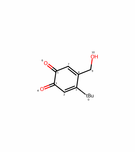 CC(C)(C)C1=CC(=O)C(=O)C=C1CO